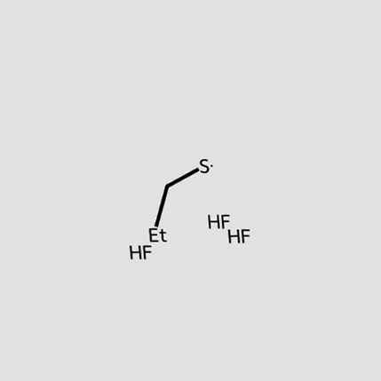 CCC[S].F.F.F